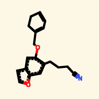 N#CCCCc1cc2occc2cc1OCC1=CC=CCC1